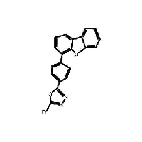 CC(C)c1nnc(-c2ccc(-c3cccc4c3oc3ccccc34)cc2)o1